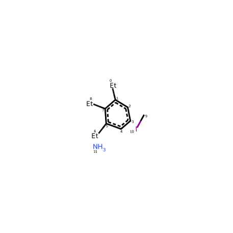 CCc1cccc(CC)c1CC.CI.N